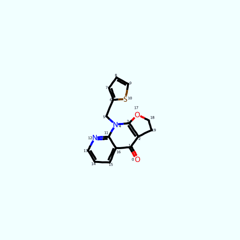 O=c1c2c(n(Cc3cccs3)c3ncccc13)OCC2